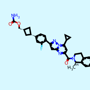 C[C@@H]1c2ccccc2CCN1C(=O)c1cc(C2CC2)n2nc(-c3ccc([C@H]4C[C@@H](COC(N)=O)C4)cc3F)cc2n1